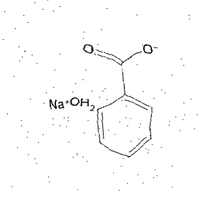 O.O=C([O-])c1ccccc1.[Na+]